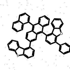 c1ccc(-c2ccc(-c3c4ccccc4c(-c4cccc5ccccc45)c4ccc(-c5cccc6sc7ccccc7c56)cc34)c3c2oc2ccccc23)cc1